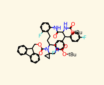 CC(C)(C)OC(=O)NC(C(=O)Nc1cccc(F)c1CCC1CN(C(=O)OC(C)(C)C)CC2(CC2)N1C(=O)OCC1c2ccccc2-c2ccccc21)C(c1ccc(F)cc1)c1ccc(F)cc1